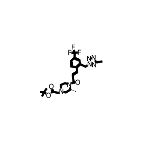 Cc1nnn(Cc2cc(C(F)(F)F)ccc2/C=C/C(=O)N2CCN(CC(=O)OC(C)(C)C)C[C@H]2C)n1